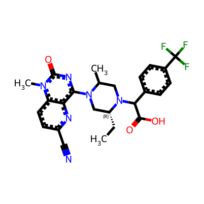 CC[C@@H]1CN(c2nc(=O)n(C)c3ccc(C#N)nc23)C(C)CN1C(C(=O)O)c1ccc(C(F)(F)F)cc1